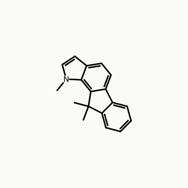 Cn1ccc2ccc3c(c21)C(C)(C)c1ccccc1-3